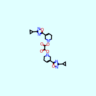 O=C(ON1CCC=C(c2nc(C3CC3)no2)C1)C(=O)ON1CCC=C(c2nc(C3CC3)no2)C1